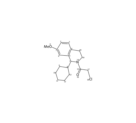 COc1ccc2c(c1)C(C1CCCCC1)N(C(=O)CCl)CC2